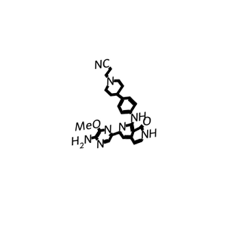 COc1nc(-c2cc3cc[nH]c(=O)c3c(Nc3ccc(C4CCN(CCC#N)CC4)cc3)n2)cnc1N